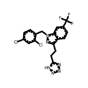 FC(F)(F)c1ccc2c(CCc3nnn[nH]3)nn(Cc3ccc(Cl)cc3Cl)c2c1